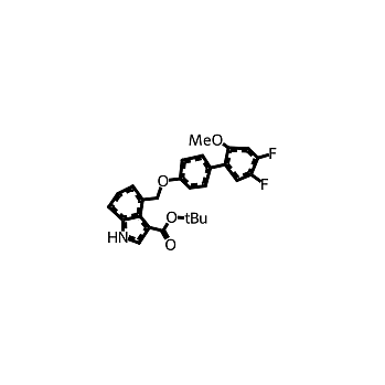 COc1cc(F)c(F)cc1-c1ccc(OCc2cccc3[nH]cc(C(=O)OC(C)(C)C)c23)cc1